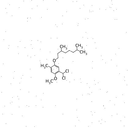 COc1cc(C)c(OCCC(C)CCCC(C)C)cc1C(Cl)Cl